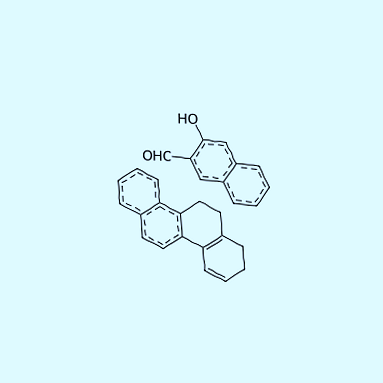 C1=CC2=C(CC1)CCc1c2ccc2ccccc12.O=Cc1cc2ccccc2cc1O